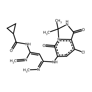 C=N/C(=C\C(=N/C)Nc1cc(Cl)c2n(c1=O)C(C)(C)NC2=O)NC(=O)C1CC1